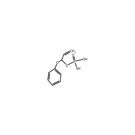 C=CC(Oc1ccccc1)OP(O)(=S)S